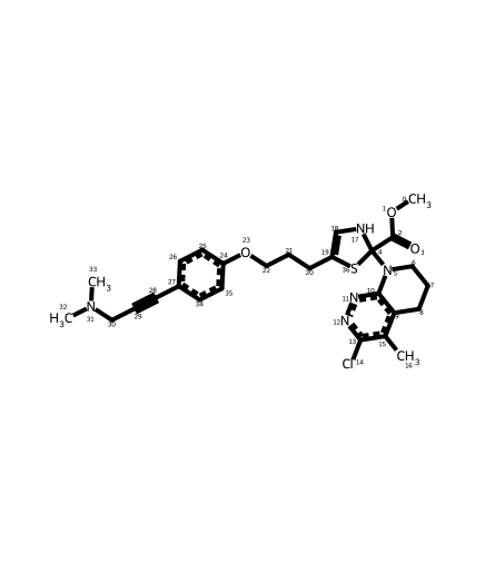 COC(=O)C1(N2CCCc3c2nnc(Cl)c3C)NC=C(CCCOc2ccc(C#CCN(C)C)cc2)S1